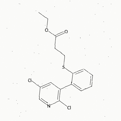 CCOC(=O)CCSc1ccccc1-c1cc(Cl)cnc1Cl